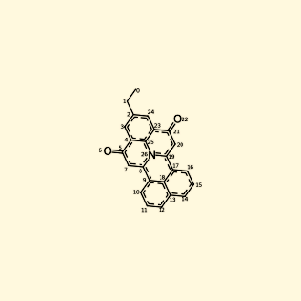 CCc1cc2c(=O)cc3c4cccc5cccc(c54)c4cc(=O)c(c1)c2n34